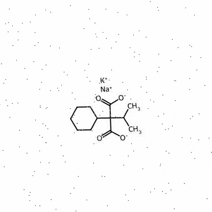 CC(C)C(C(=O)[O-])(C(=O)[O-])C1CCCCC1.[K+].[Na+]